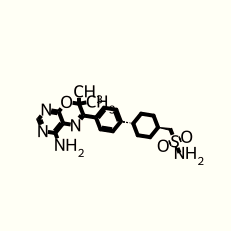 CC1(C)Oc2ncnc(N)c2N=C1c1ccc([C@H]2CC[C@H](CS(N)(=O)=O)CC2)cc1